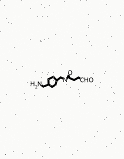 NCC1CCC(C[N]C(=O)CCC=O)CC1